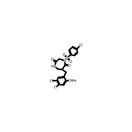 COc1cc(Cl)c(Cl)cc1CC1CNC(=O)CN(S(=O)(=O)c2ccc(Cl)cc2)C1=O